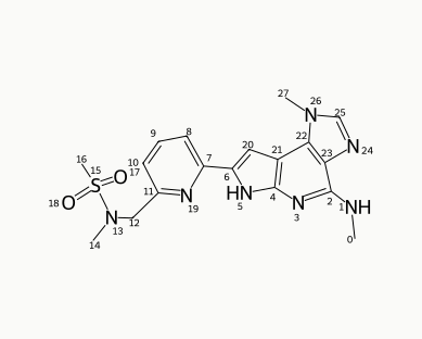 CNc1nc2[nH]c(-c3cccc(CN(C)S(C)(=O)=O)n3)cc2c2c1ncn2C